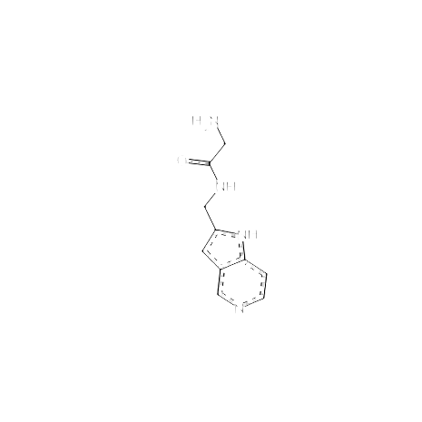 NCC(=O)NCc1cc2cnccc2[nH]1